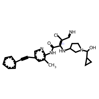 Cc1cc(C#Cc2ccccc2)cnc1NC(=O)/C(NC1CCN(C(O)C2CC2)C1)=C(\Cl)C=N